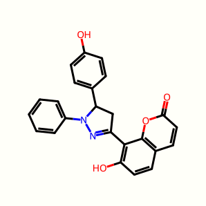 O=c1ccc2ccc(O)c(C3=NN(c4ccccc4)C(c4ccc(O)cc4)C3)c2o1